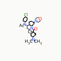 CC(=O)N(c1ccc(Cl)cc1)C1CC(C)N(C(=O)c2ccc(N(C)C)cc2)c2cc(N3CCOCC3)ccc21